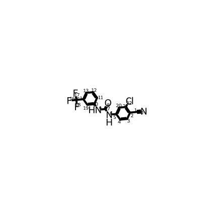 N#Cc1ccc(NC(=O)Nc2cccc(C(F)(F)F)c2)cc1Cl